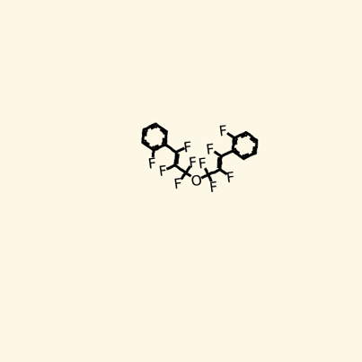 FC(=C(F)C(F)(F)OC(F)(F)C(F)=C(F)c1ccccc1F)c1ccccc1F